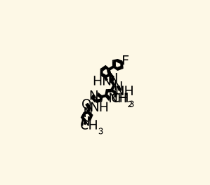 CC1NN=C(c2nc3c(-c4ccc(F)cc4)cccc3[nH]2)/C1=C/C(=C\N)c1cncc(NC(=O)N2CCN(C)CC2)c1